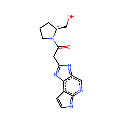 O=C(CC1=Nc2c3c(ncc2=N1)=NC=C3)N1CCC[C@H]1CO